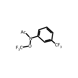 CC(=O)N(OC(F)(F)F)c1cccc(C(F)(F)F)c1